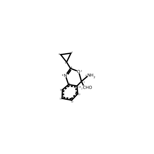 NC1(C=O)OC(C2CC2)=Nc2ccccc21